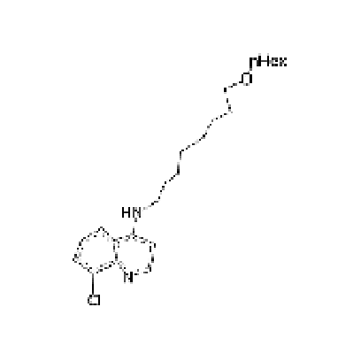 CCCCCCOCCCCCCCCNc1ccnc2c(Cl)cccc12